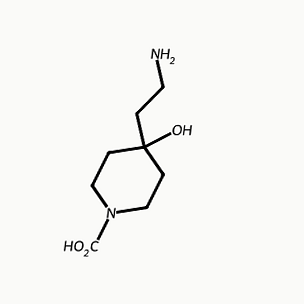 NCCC1(O)CCN(C(=O)O)CC1